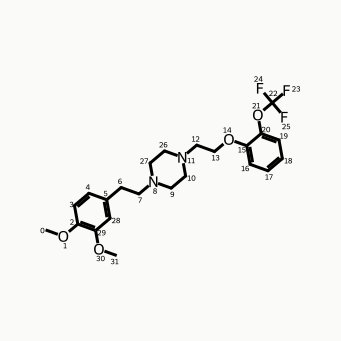 COc1ccc(CCN2CCN(CCOc3ccccc3OC(F)(F)F)CC2)cc1OC